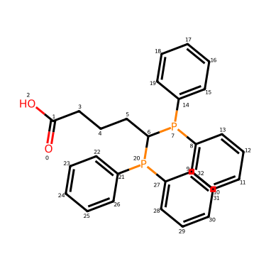 O=C(O)CCCC(P(c1ccccc1)c1ccccc1)P(c1ccccc1)c1ccccc1